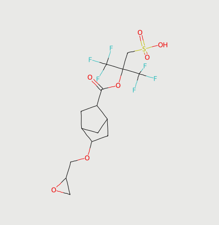 O=C(OC(CS(=O)(=O)O)(C(F)(F)F)C(F)(F)F)C1CC2CC1CC2OCC1CO1